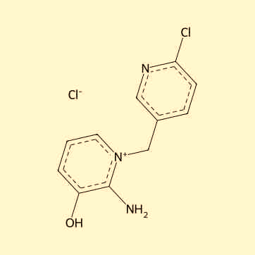 Nc1c(O)ccc[n+]1Cc1ccc(Cl)nc1.[Cl-]